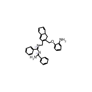 N/C(=N\C(=N/CC1=C(COc2ccccc2N)CC2C=CC=CC2=C1)c1ccccc1)c1ccccc1